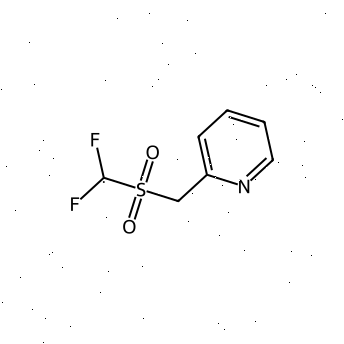 O=S(=O)(Cc1ccccn1)[C](F)F